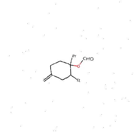 C=C1CCC(OC=O)(C(C)C)C(CC)C1